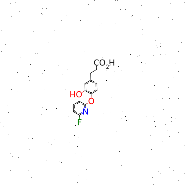 O=C(O)CCc1ccc(Oc2cccc(F)n2)c(O)c1